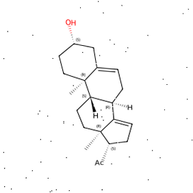 CC(=O)[C@H]1CC=C2[C@@H]3CC=C4C[C@@H](O)CC[C@]4(C)[C@H]3CC[C@@]21C